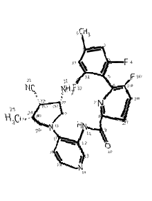 Cc1cc(F)c(-c2nc(C(=O)Nc3cnccc3N3C[C@@H](N)[C@@H](C#N)[C@@H](C)C3)ccc2F)c(F)c1